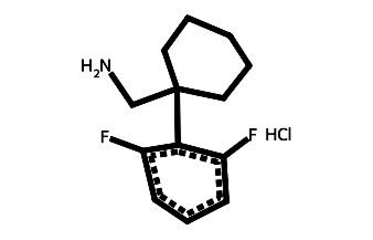 Cl.NCC1(c2c(F)cccc2F)CCCCC1